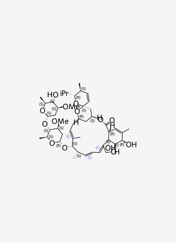 CO[C@H]1C[C@H](O[C@H]2[C@H](C)O[C@@H](O[C@@H]3/C(C)=C/C[C@@H]4C[C@@H](C[C@]5(C=C[C@H](C)[C@@H](C(C)C)O5)O4)OC(=O)[C@@H]4C=C(C)[C@@H](O)[C@H]5OC/C(=C\C=C\[C@@H]3C)[C@]54O)C[C@@H]2OC)O[C@@H](C)[C@@H]1O